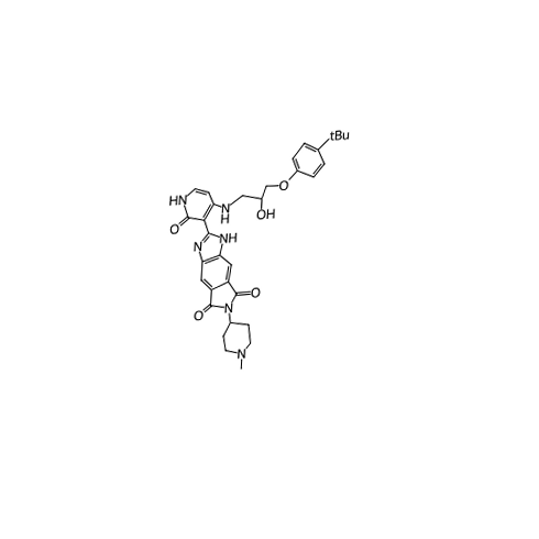 CN1CCC(N2C(=O)c3cc4nc(-c5c(NCC(O)COc6ccc(C(C)(C)C)cc6)cc[nH]c5=O)[nH]c4cc3C2=O)CC1